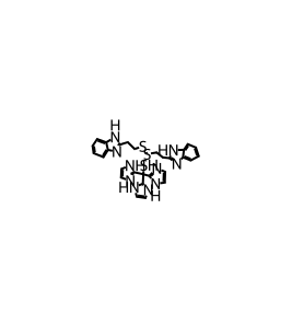 SC(c1ncc[nH]1)(c1ncc[nH]1)c1ncc[nH]1.c1ccc2[nH]c(CCSSCCc3nc4ccccc4[nH]3)nc2c1